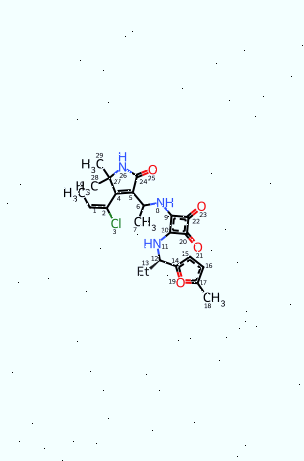 C/C=C(/Cl)C1=C(C(C)Nc2c(N[C@H](CC)c3ccc(C)o3)c(=O)c2=O)C(=O)NC1(C)C